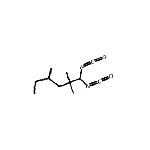 CCC(C)CC(C)(C)C(N=C=O)N=C=O